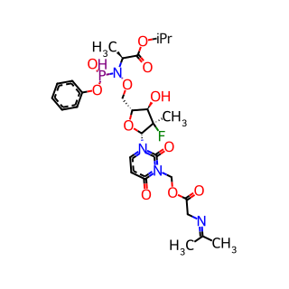 CC(C)=NCC(=O)OCn1c(=O)ccn([C@@H]2O[C@H](CON([C@@H](C)C(=O)OC(C)C)[PH](=O)Oc3ccccc3)[C@@H](O)[C@@]2(C)F)c1=O